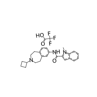 Cn1c(C(=O)Nc2ccc3c(c2)CCN(C2CCC2)CC3)cc2ccccc21.O=C(O)C(F)(F)F